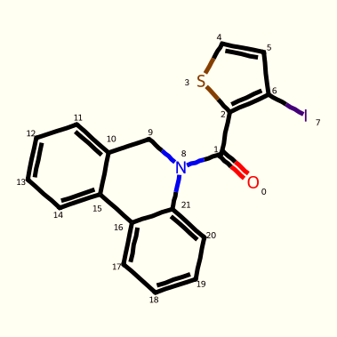 O=C(c1sccc1I)N1Cc2ccccc2-c2ccccc21